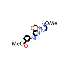 COC(=O)c1cccc(Nc2cnc3c(c2)OCCN3c2nccc(OC)n2)c1